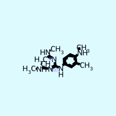 C=C(/N=C(\N=C(/C)NC)Nc1ccc(NC)c(C)c1)NC